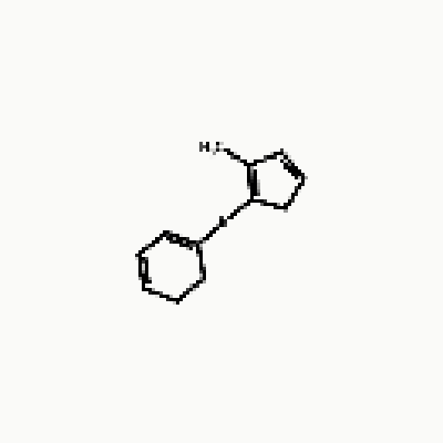 CC1=[C]([Ir][C]2=CC=CCC2)CC=C1